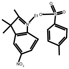 CC[N+]1=C(C)C(C)(C)c2cc([N+](=O)[O-])ccc21.Cc1ccc(S(=O)(=O)[O-])cc1